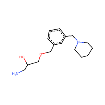 NCC(O)COCc1cccc(CN2CCCCC2)c1